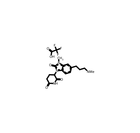 CNCCCc1ccc2c(c1)n(C)c(=O)n2C1CCC(=O)NC1=O.O=C(O)C(F)(F)F